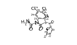 NC(=O)N1C(=O)C(C(=O)c2cccs2)c2nc(Cl)c(Cl)cc21